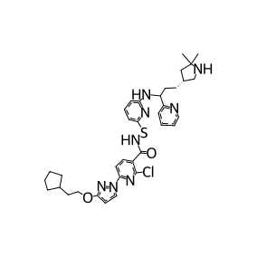 CC1(C)C[C@@H](CCC(Nc2cccc(SNC(=O)c3ccc(-n4ccc(OCCC5CCCC5)n4)nc3Cl)n2)c2ccccn2)CN1